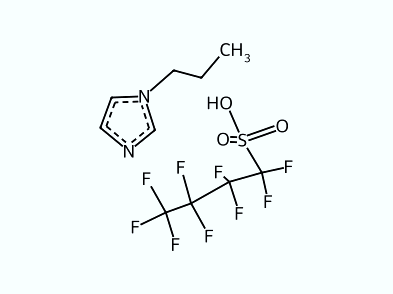 CCCn1ccnc1.O=S(=O)(O)C(F)(F)C(F)(F)C(F)(F)C(F)(F)F